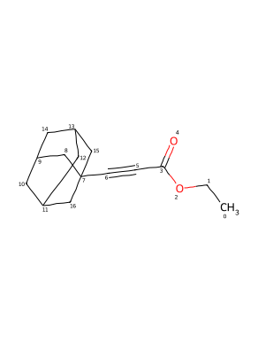 CCOC(=O)C#CC12CC3CC(CC(C3)C1)C2